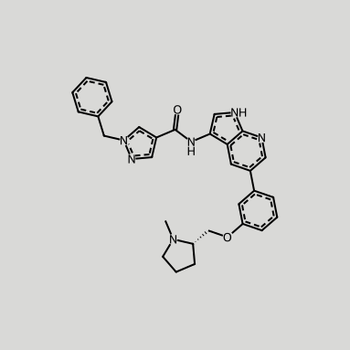 CN1CCC[C@H]1COc1cccc(-c2cnc3[nH]cc(NC(=O)c4cnn(Cc5ccccc5)c4)c3c2)c1